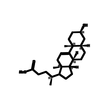 COC(=O)CC[C@@H](C)C1CC[C@H]2[C@@H]3CC[C@@H]4C[C@H](O)CC[C@]4(C)C3=CC[C@]12C